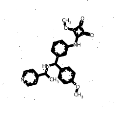 COc1ccc(C(NC(C)c2ccncc2)c2cccc(Nc3c(OC)c(=O)c3=O)c2)cc1